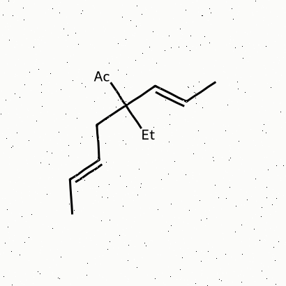 C/C=C/CC(/C=C/C)(CC)C(C)=O